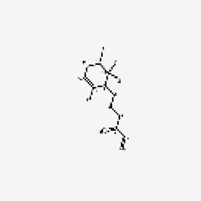 C=CC(=O)CCCC1C(C)=CCC(C)C1(C)C